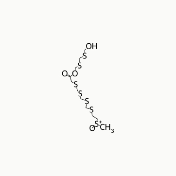 C[S+]([O-])CCSCSCSCSCC(=O)OCSCSCO